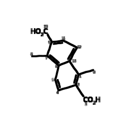 Cc1c(C(=O)O)ccc2c(C)c(C(=O)O)ccc12